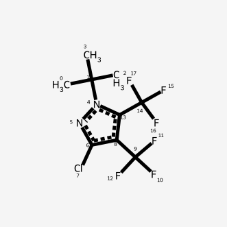 CC(C)(C)n1nc(Cl)c(C(F)(F)F)c1C(F)(F)F